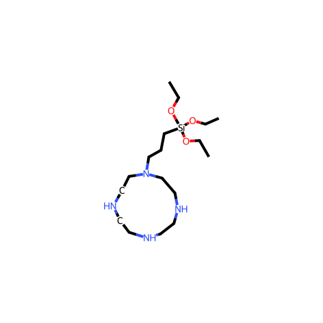 CCO[Si](CCCN1CCNCCNCCNCC1)(OCC)OCC